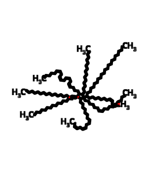 CC/C=C\C/C=C\C/C=C\CCCCCCCC(CCCCCCCCCCCCCCCCCCCC)C(CCCCCC/C=C\CCCCCC)([C](CCCCCCCCCCCCCCCC)C(CCC/C=C\C/C=C\C/C=C\C/C=C\CCCCC)CCCCCCCCCCCCCCCCCC)C(CCCCCCC/C=C\C/C=C\CCCCC)CCCCCCCCCCCCCCCCCCCCCC